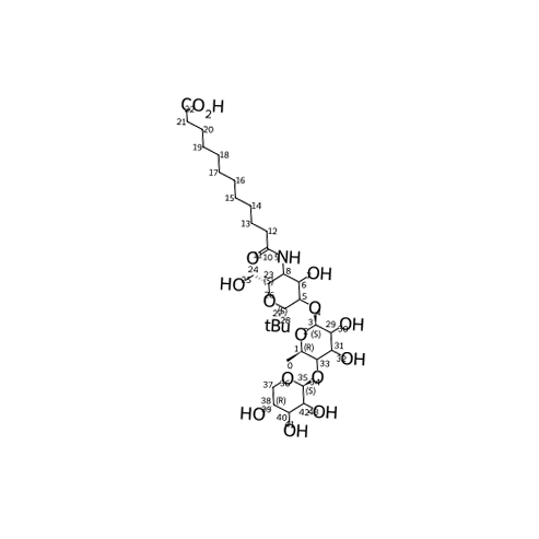 C[C@H]1O[C@@H](OC2C(O)C(NC(=O)CCCCCCCCCCC(=O)O)[C@@H](CO)O[C@H]2C(C)(C)C)C(O)C(O)C1O[C@@H]1OC[C@@H](O)C(O)C1O